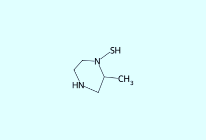 CC1CNCCN1S